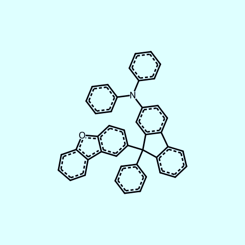 c1ccc(N(c2ccccc2)c2ccc3c(c2)C(c2ccccc2)(c2ccc4oc5ccccc5c4c2)c2ccccc2-3)cc1